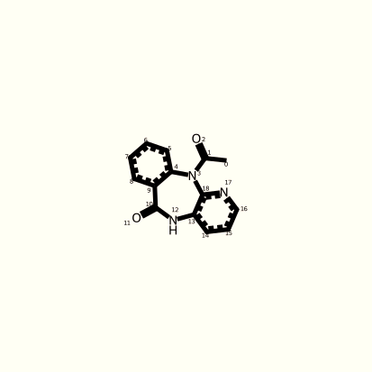 CC(=O)N1c2ccccc2C(=O)Nc2cccnc21